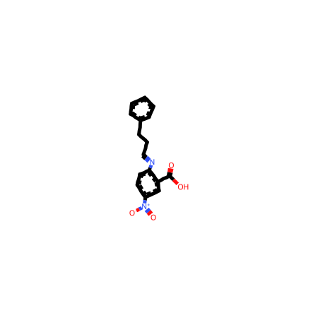 O=C(O)c1cc([N+](=O)[O-])ccc1N=CCCc1ccccc1